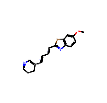 COc1ccc2nc(/C=C/C=C/C3=CN=CCC3)sc2c1